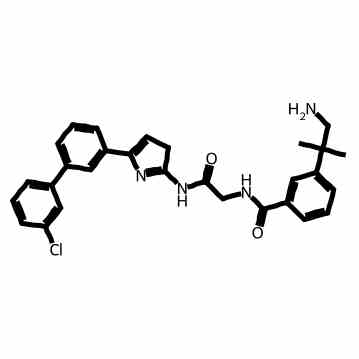 CC(C)(CN)c1cccc(C(=O)NCC(=O)NC2=NC(c3cccc(-c4cccc(Cl)c4)c3)=CC2)c1